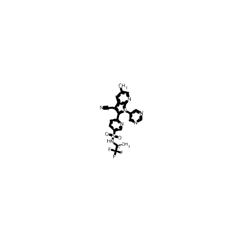 Cc1cnc2c(c1)c(C#N)c(-c1ccc(S(=O)(=O)N[C@@H](C)C(F)(F)F)cn1)n2-c1cncnc1